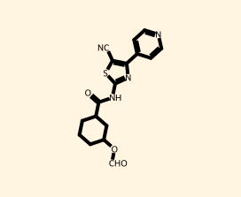 N#Cc1sc(NC(=O)C2CCCC(OC=O)C2)nc1-c1ccncc1